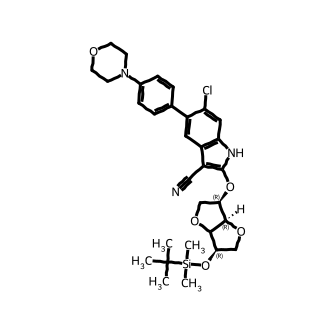 CC(C)(C)[Si](C)(C)O[C@@H]1CO[C@H]2C1OC[C@H]2Oc1[nH]c2cc(Cl)c(-c3ccc(N4CCOCC4)cc3)cc2c1C#N